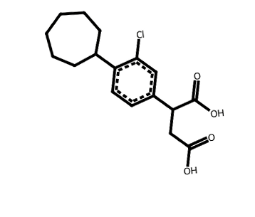 O=C(O)CC(C(=O)O)c1ccc(C2CCCCCC2)c(Cl)c1